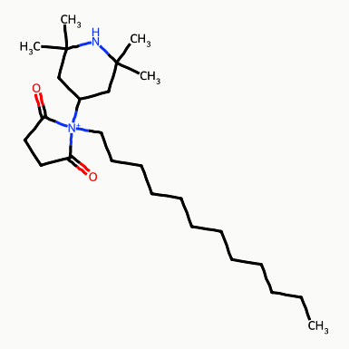 CCCCCCCCCCCC[N+]1(C2CC(C)(C)NC(C)(C)C2)C(=O)CCC1=O